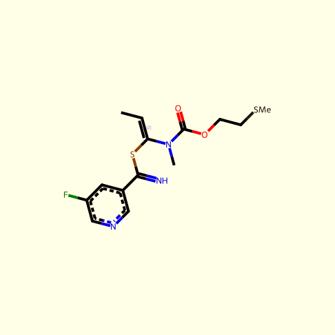 C/C=C(\SC(=N)c1cncc(F)c1)N(C)C(=O)OCCSC